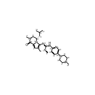 C=N/C(=N\c1c(C)cc2n1[C@@H](CC(C)C)CN(C)C2=O)Nc1ccc(N2CCN(C)CC2)cn1